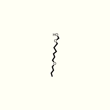 CCCCOCCCCCCOCO